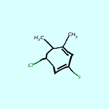 CC1=CC(F)=CC(Cl)C1C